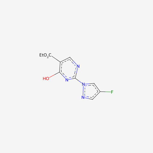 CCOC(=O)c1cnc(-n2cc(F)cn2)nc1O